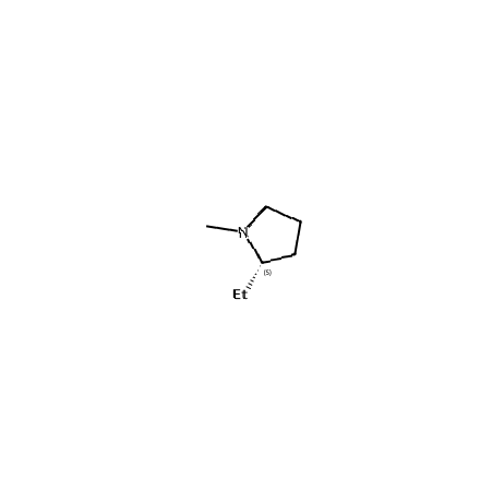 [CH2]C[C@H]1CCCN1C